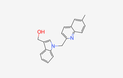 Cc1ccc2nc(Cn3cc(CO)c4ccccc43)ccc2c1